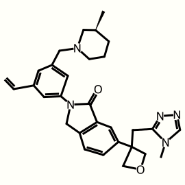 C=Cc1cc(CN2CCC[C@H](C)C2)cc(N2Cc3ccc(C4(Cc5nncn5C)COC4)cc3C2=O)c1